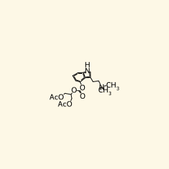 CC(=O)OCC(COC(C)=O)OC(=O)Oc1cccc2[nH]cc(CCN(C)C)c12